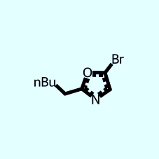 CCCCCc1ncc(Br)o1